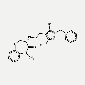 CCOC(=O)c1nn(Cc2ccccc2)c(Br)c1CCN[C@H]1COc2ccccc2N(C)C1=O